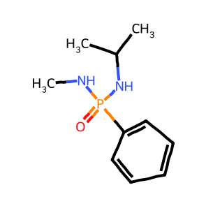 CNP(=O)(NC(C)C)c1ccccc1